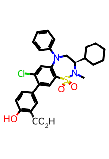 CN1[C@H](C2CCCCC2)CN(c2ccccc2)c2cc(Cl)c(-c3ccc(O)c(C(=O)O)c3)cc2S1(=O)=O